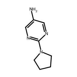 Nc1cnc(N2CCCC2)nc1